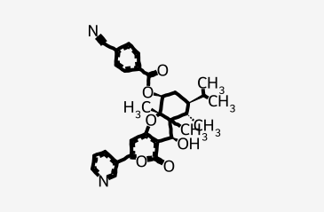 CC(C)[C@@H]1C[C@H](OC(=O)c2ccc(C#N)cc2)[C@@]2(C)Oc3cc(-c4cccnc4)oc(=O)c3[C@H](O)C2(C)[C@H]1C